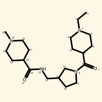 CCN1CCC(C(=O)N2CCC(CNC(=O)C3CCN(C)CC3)C2)CC1